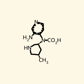 C[C@H]1CNC[C@@H](N(C(=O)O)c2ccncc2N)C1